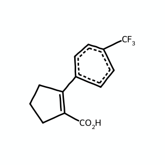 O=C(O)C1=C(c2ccc(C(F)(F)F)cc2)CCC1